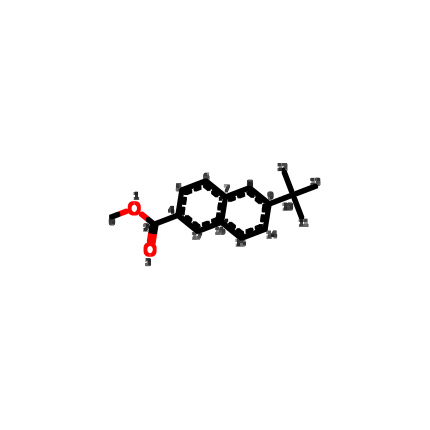 COC(=O)c1ccc2cc(C(C)(C)C)ccc2c1